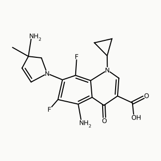 CC1(N)C=CN(c2c(F)c(N)c3c(=O)c(C(=O)O)cn(C4CC4)c3c2F)C1